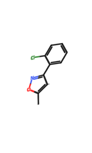 Cc1[c]c(-c2ccccc2Cl)no1